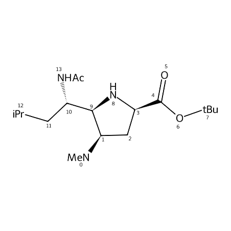 CN[C@@H]1C[C@H](C(=O)OC(C)(C)C)N[C@@H]1[C@H](CC(C)C)NC(C)=O